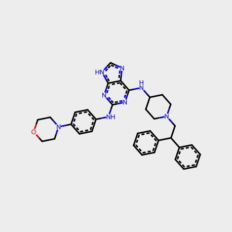 c1ccc(C(CN2CCC(Nc3nc(Nc4ccc(N5CCOCC5)cc4)nc4[nH]cnc34)CC2)c2ccccc2)cc1